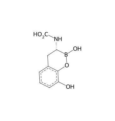 O=C(O)N[C@H]1Cc2cccc(O)c2OB1O